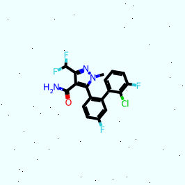 Cn1nc(C(F)F)c(C(N)=O)c1-c1ccc(F)cc1-c1cccc(F)c1Cl